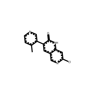 Cc1ccncc1-c1cc2cnc(Cl)cc2[nH]c1=O